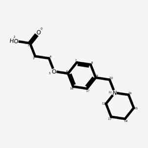 O=C(O)CCOc1ccc(CN2CCCCC2)cc1